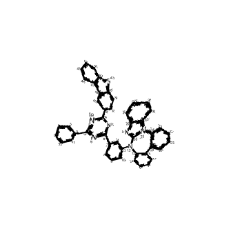 c1ccc(-c2nc(-c3cccc(N4c5ccccc5-c5ccccc5-n5c4nc4ccccc45)c3)nc(-c3ccc4sc5ccccc5c4c3)n2)cc1